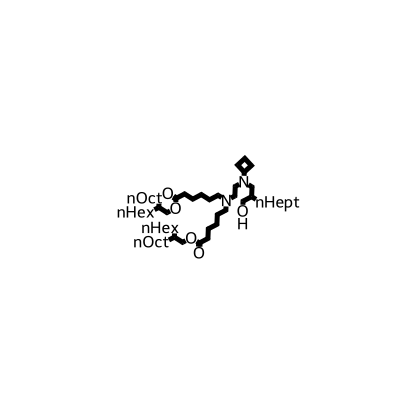 CCCCCCCCC(CCCCCC)COC(=O)CCCCCN(CCCCCC(=O)OCC(CCCCCC)CCCCCCCC)CCN(CC(CO)CCCCCCC)C1CCC1